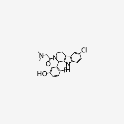 CN(C)CC(=O)N1CCc2c([nH]c3ccc(Cl)cc23)C1c1cc(O)ccc1F